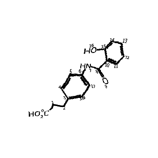 O=C(O)CCc1ccc(NC(=O)c2ccccc2O)cc1